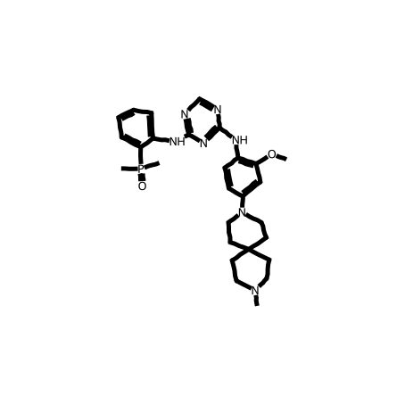 COc1cc(N2CCC3(CCN(C)CC3)CC2)ccc1Nc1ncnc(Nc2ccccc2P(C)(C)=O)n1